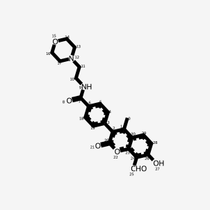 Cc1c(-c2ccc(C(=O)NCCN3CCOCC3)cc2)c(=O)oc2c(C=O)c(O)ccc12